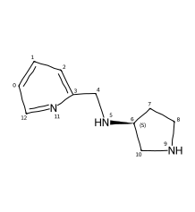 c1ccc(CN[C@H]2CCNC2)nc1